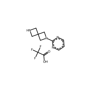 O=C(O)C(F)(F)F.c1cnc(N2CC3(CNC3)C2)nc1